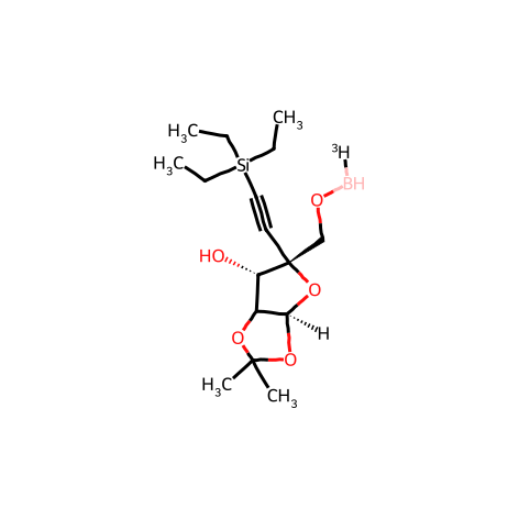 [3H]BOC[C@@]1(C#C[Si](CC)(CC)CC)O[C@H]2OC(C)(C)OC2[C@@H]1O